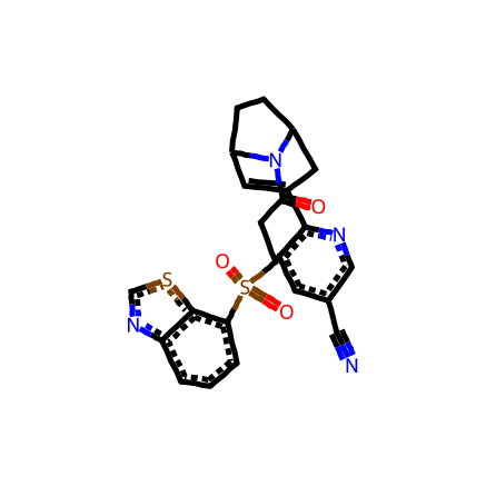 N#Cc1ccc(C2=CC3CCC(C2)N3C(=O)CCS(=O)(=O)c2cccc3ncsc23)nc1